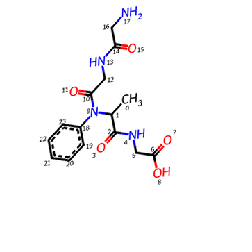 CC(C(=O)NCC(=O)O)N(C(=O)CNC(=O)CN)c1ccccc1